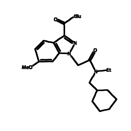 CCN(CC1CCCCC1)C(=O)Cn1nc(C(=O)C(C)(C)C)c2ccc(OC)cc21